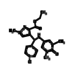 CCOC(=O)c1nn(C)cc1C(Nc1cc(C)c(=O)n(C)c1)c1ccc(Cl)cc1